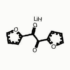 O=C(C(=O)c1ccco1)c1ccco1.[LiH]